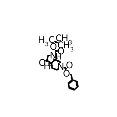 CC(C)(C)OC(=O)N1CC(=O)[C@H]2CCN(C(=O)OCc3ccccc3)C[C@H]21